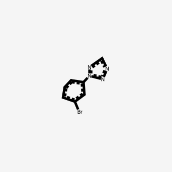 Brc1cccc(-n2n[c]nn2)c1